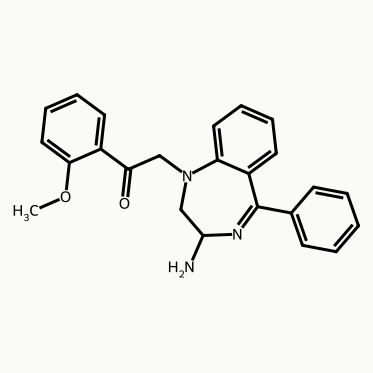 COc1ccccc1C(=O)CN1CC(N)N=C(c2ccccc2)c2ccccc21